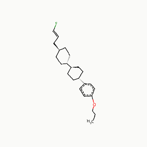 CCCOc1ccc([C@H]2CC[C@H]([C@H]3CC[C@H](CC=CF)CC3)CC2)cc1